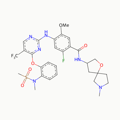 COc1cc(C(=O)NC2COC3(CCN(C)C3)C2)c(F)cc1Nc1ncc(C(F)(F)F)c(Oc2ccccc2N(C)S(C)(=O)=O)n1